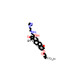 CC(C)C1=C2[C@H]3CC[C@@H]4[C@@]5(C)CC[C@H](OC(=O)CC(C)(C)C(=O)O)C(C)(C)[C@@H]5CC[C@@]4(C)[C@]3(C)CC[C@@]2([C@H](O)CNCCCn2ccnc2)CC1=O